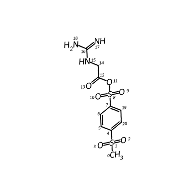 CS(=O)(=O)c1ccc(S(=O)(=O)OC(=O)CNC(=N)N)cc1